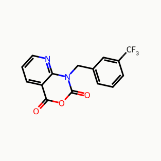 O=c1oc(=O)n(Cc2cccc(C(F)(F)F)c2)c2ncccc12